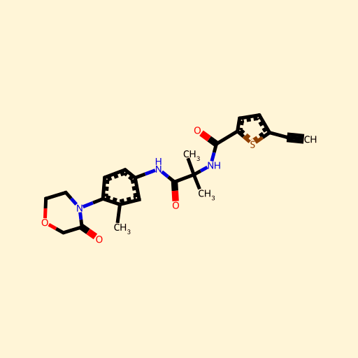 C#Cc1ccc(C(=O)NC(C)(C)C(=O)Nc2ccc(N3CCOCC3=O)c(C)c2)s1